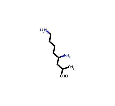 CC(C=O)CC(N)CCCCN